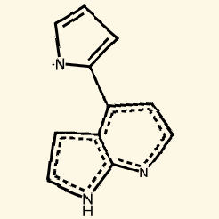 C1=C[N]C(c2ccnc3[nH]ccc23)=C1